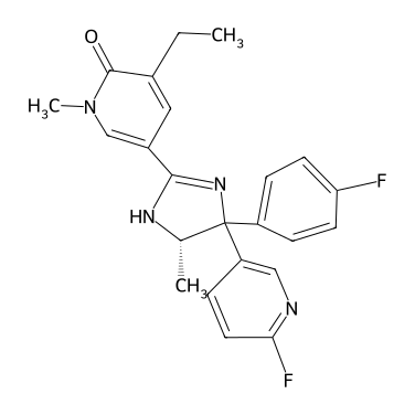 CCc1cc(C2=NC(c3ccc(F)cc3)(c3ccc(F)nc3)[C@H](C)N2)cn(C)c1=O